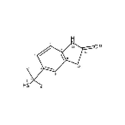 CC(C)(S)c1ccc2c(c1)CC(=O)N2